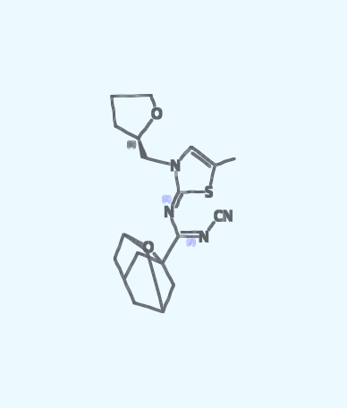 Cc1cn(C[C@H]2CCCO2)/c(=N/C(=N\C#N)C23CC4CC(CC(C4)O2)C3)s1